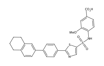 COc1cc(C(=O)O)ccc1NS(=O)(=O)c1cnc(-c2ccc(-c3ccc4c(c3)CCCC4)cc2)s1